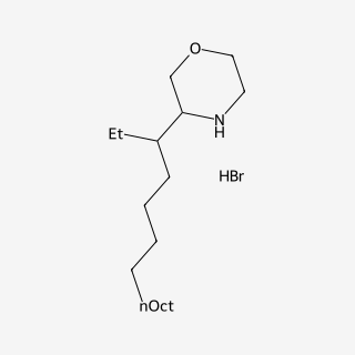 Br.CCCCCCCCCCCCC(CC)C1COCCN1